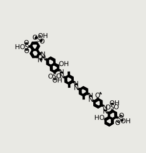 COc1cc(N=Nc2c(S(=O)(=O)O)cc(S(=O)(=O)O)c3cccc(O)c23)ccc1N=Nc1ccc(N=Nc2cc(C)c(N=Nc3c(S(=O)(=O)O)cc4cc(-n5nc6ccc7c(S(=O)(=O)O)cc(S(=O)(=O)O)cc7c6n5)ccc4c3O)cc2C)cc1C